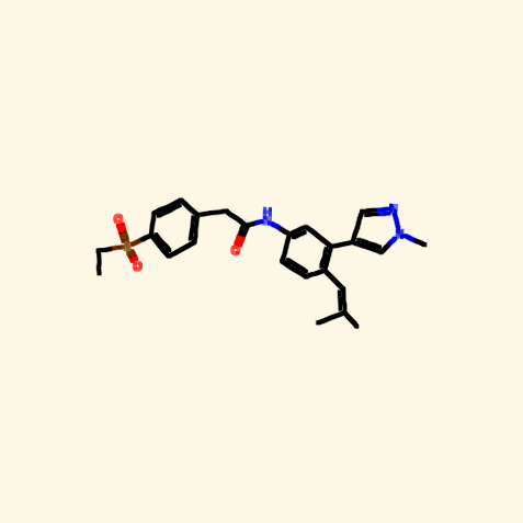 CCS(=O)(=O)c1ccc(CC(=O)Nc2ccc(C=C(C)C)c(-c3cnn(C)c3)c2)cc1